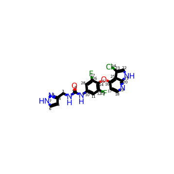 O=C(NCc1cc[nH]n1)Nc1cc(F)c(Oc2ccnc3[nH]cc(Cl)c23)c(F)c1